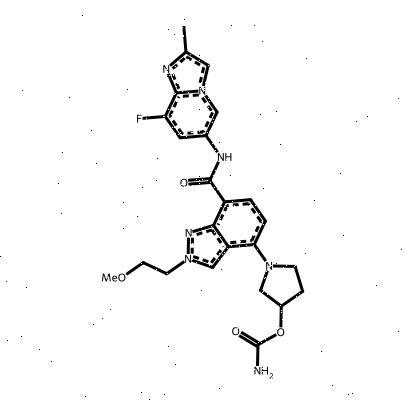 COCCn1cc2c(N3CCC(OC(N)=O)C3)ccc(C(=O)Nc3cc(F)c4nc(C)cn4c3)c2n1